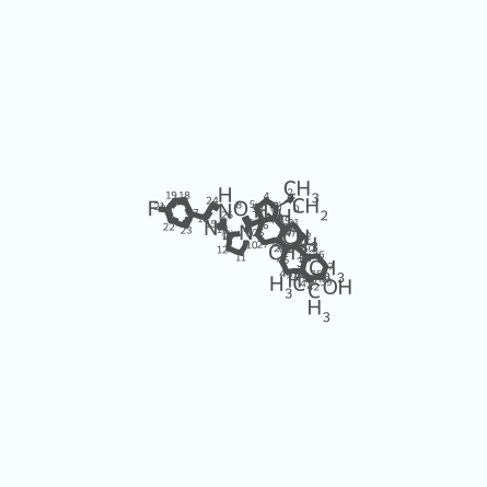 C=C(C)[C@@H]1CCC2(C(=O)N3CCC[C@H]3c3nc(-c4ccc(F)cc4)c[nH]3)CCC3(C)[C@H](CC[C@@H]4[C@@]5(C)CC[C@H](O)C(C)(C)[C@@H]5CC[C@]43C)[C@@H]12